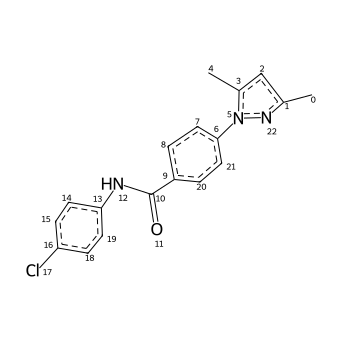 Cc1cc(C)n(-c2ccc(C(=O)Nc3ccc(Cl)cc3)cc2)n1